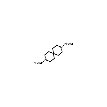 CCCCCN1CCC2(CC1)CCN(CCCCC)CC2